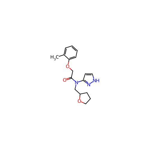 Cc1ccccc1OCC(=O)N(CC1CCCO1)c1cc[nH]n1